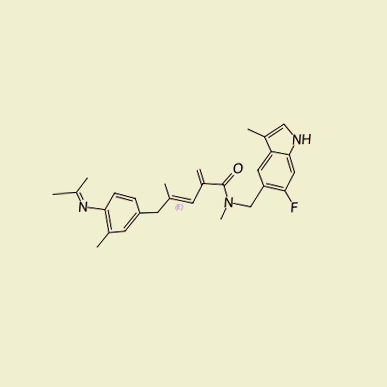 C=C(/C=C(\C)Cc1ccc(N=C(C)C)c(C)c1)C(=O)N(C)Cc1cc2c(C)c[nH]c2cc1F